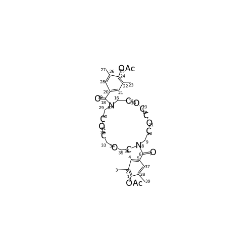 CC(=O)Oc1c(C)cc(C(=O)N2CCOCCOCCN(C(=O)c3cc(C)c(OC(C)=O)c(C)c3)CCOCCOCC2)cc1C